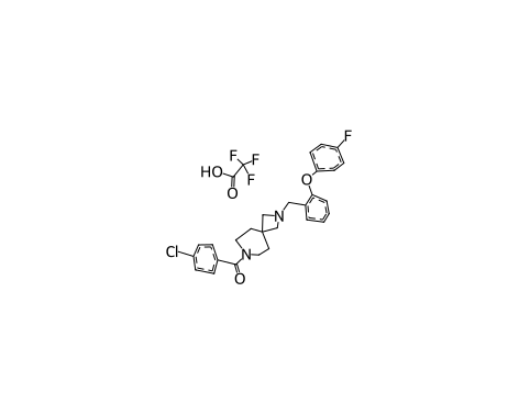 O=C(O)C(F)(F)F.O=C(c1ccc(Cl)cc1)N1CCC2(CC1)CN(Cc1ccccc1Oc1ccc(F)cc1)C2